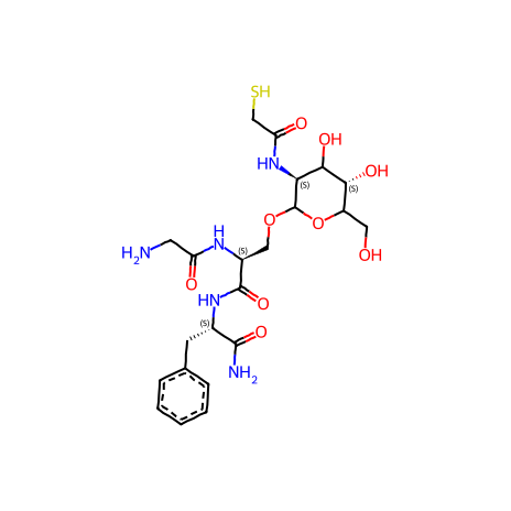 NCC(=O)N[C@@H](COC1OC(CO)[C@@H](O)C(O)[C@@H]1NC(=O)CS)C(=O)N[C@@H](Cc1ccccc1)C(N)=O